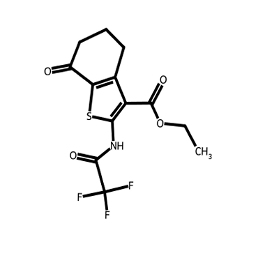 CCOC(=O)c1c(NC(=O)C(F)(F)F)sc2c1CCCC2=O